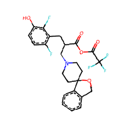 O=C(OC(=O)C(F)(F)F)C(Cc1c(F)ccc(O)c1F)CN1CCC2(CC1)OCc1ccccc12